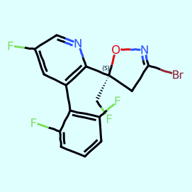 FC[C@@]1(c2ncc(F)cc2-c2c(F)cccc2F)CC(Br)=NO1